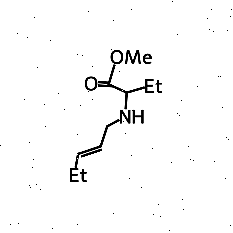 CC/C=C/CNC(CC)C(=O)OC